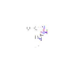 C[C@@H](CCC=O)N(C)C(=O)ON[C@H]1CC[C@@H]2CN(Cc3ccc(F)cc3)C[C@@H]21